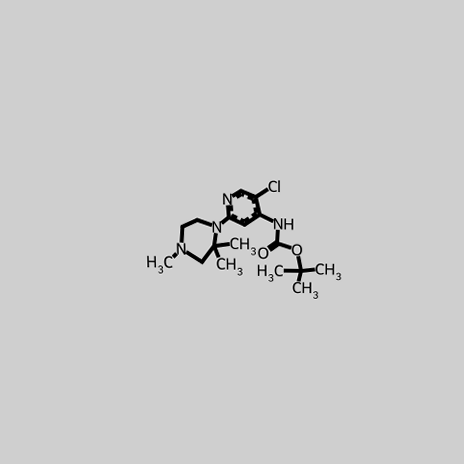 CN1CCN(c2cc(NC(=O)OC(C)(C)C)c(Cl)cn2)C(C)(C)C1